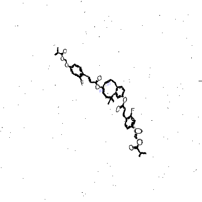 C=C(C)C(=O)OCOc1ccc(C=CC(=O)OC2=C/CC(C)(C)c3cc(OC(=O)C=Cc4ccc(OCOC(=O)C(=C)C)cc4F)ccc3C/C=C\2)c(F)c1